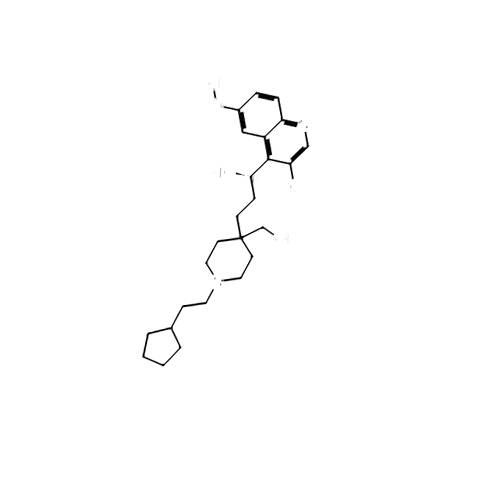 COc1ccc2ncc(Cl)c([C@H](O)CCC3(CO)CCN(CCC4CCCC4)CC3)c2c1